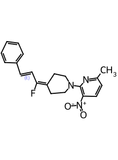 Cc1ccc([N+](=O)[O-])c(N2CCC(=C(F)/C=C/c3ccccc3)CC2)n1